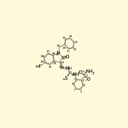 NS(=O)(=O)c1ccccc1NC(=S)NN=C1C(=O)N(Cc2ccccc2)c2ccc(F)cc21